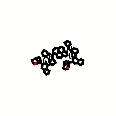 c1ccc(N(c2ccc3ccc4c(N(c5ccccc5)c5cccc6c5oc5c(C7C8CC9CC(C8)CC7C9)cc7ccccc7c56)ccc5ccc2c3c54)c2cccc3c2oc2c(C4C5CC6CC(C5)CC4C6)cc4ccccc4c23)cc1